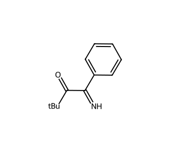 CC(C)(C)C(=O)C(=N)c1ccccc1